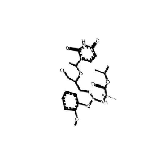 COc1ccccc1OP(N[C@@H](C)C(=O)OC(C)C)OCC(CCl)OC(C)n1ccc(=O)[nH]c1=O